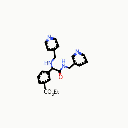 CCOC(=O)c1cccc(C(NCc2ccncc2)C(=O)NCc2cccnc2)c1